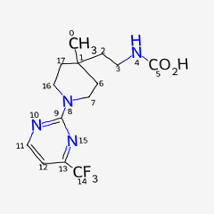 CC1(CCNC(=O)O)CCN(c2nccc(C(F)(F)F)n2)CC1